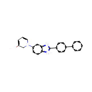 OC1=CC=CN(c2ccc3[nH]c(-c4ccc(-c5ccccc5)cc4)nc3c2)C1